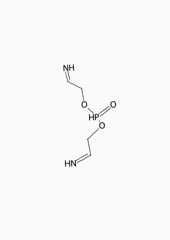 N=CCO[PH](=O)OCC=N